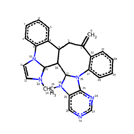 C=C1CC2c3ccccc3N3C=CN(C)C3C2C2N(C)c3cncnc3N2c2ccccc21